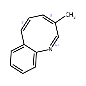 CC1=C/C=C\c2ccccc2/N=C\1